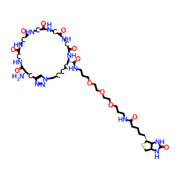 N[C@H]1Cc2cn(nn2)CCCC[C@@H](C(=O)NCCCOCCOCCOCCCNC(=O)CCCC[C@H]2SCC3NC(=O)NC32)NC(=O)CNC(=O)CNC(=O)CNC(=O)CNC(=O)CNC1=O